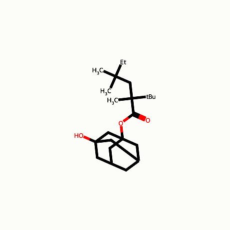 CCC(C)(C)CC(C)(C(=O)OC12CC3CC(CC(O)(C3)C1)C2)C(C)(C)C